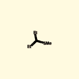 [C]SC(CC)CC